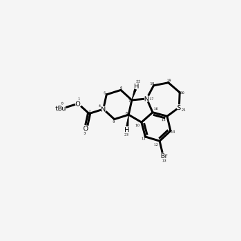 CC(C)(C)OC(=O)N1CC[C@H]2[C@@H](C1)c1cc(Br)cc3c1N2CCCS3